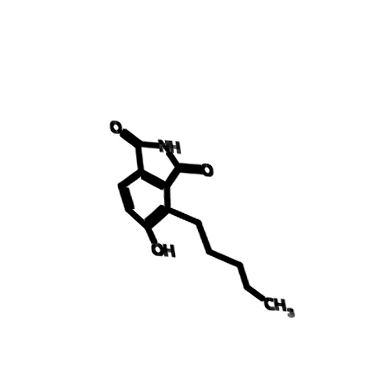 CCCCCc1c(O)ccc2c1C(=O)NC2=O